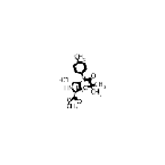 COC(=O)[C@@H]1C[C@H](N(C(=O)C(C)(C)C)C2CCC(C)CC2)CN1.Cl